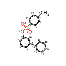 Cc1ccc(S(=O)(=O)Oc2cccc(-c3ccccc3)c2)cc1